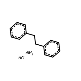 Cl.[AlH3].c1ccc(CCc2ccccc2)cc1